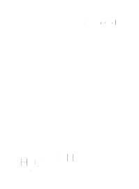 C=C(C)CCCCCCCCCCCCCCCCC